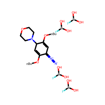 CCCCOC1=CC(N2CCOCC2)C(OCCCC)=CC1=[N+]=[N-].OB(O)F.OB(O)F.OB(O)F.OB(O)F